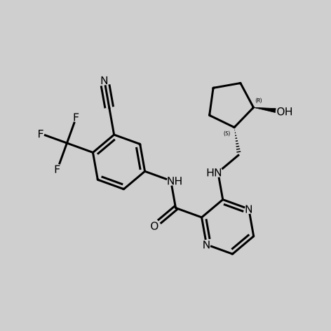 N#Cc1cc(NC(=O)c2nccnc2NC[C@@H]2CCC[C@H]2O)ccc1C(F)(F)F